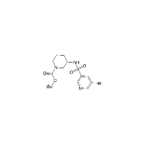 CC(C)(C)OC(=O)N1CCCC(NS(=O)(=O)c2cncc(Br)c2)C1